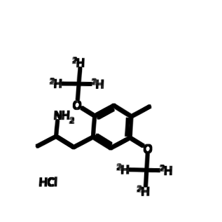 Cl.[2H]C([2H])([2H])Oc1cc(CC(C)N)c(OC([2H])([2H])[2H])cc1C